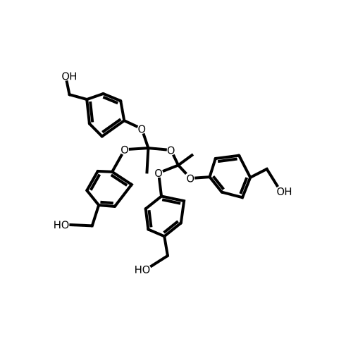 CC(Oc1ccc(CO)cc1)(Oc1ccc(CO)cc1)OC(C)(Oc1ccc(CO)cc1)Oc1ccc(CO)cc1